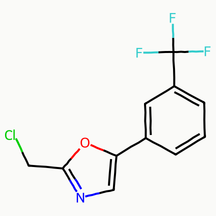 FC(F)(F)c1cccc(-c2cnc(CCl)o2)c1